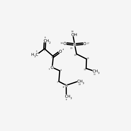 C=C(C)C(=O)OCCN(C)C.CCCCS(=O)(=O)O